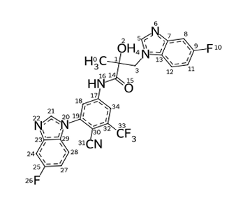 CC(O)(Cn1cnc2cc(F)ccc21)C(=O)Nc1cc(-n2cnc3cc(F)ccc32)c(C#N)c(C(F)(F)F)c1